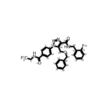 O=C(NCC(F)(F)F)c1ccc(-n2nnc(C(=O)NCc3ccccc3F)c2COCc2ccccc2)cc1